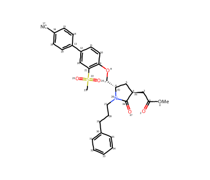 COC(=O)C[C@@H]1C[C@@H](COc2ccc(-c3ccc(C#N)cc3)cc2S(C)(=O)=O)N(CCCc2ccccc2)C1=O